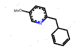 COc1ccc(CC2C=CC=CC2)nc1